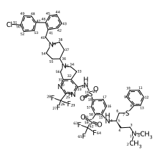 CN(C)CC[C@H](CSc1ccccc1)Nc1ccc(S(=O)(=O)Nc2nc(C(F)(F)F)nc3c2CCN(C2CCN(Cc4ccccc4-c4ccc(Cl)cc4)CC2)C3)cc1S(=O)(=O)C(F)(F)F